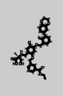 CCOC(=O)c1cncc(COc2cc(OCc3cccc(-c4ccc5c(c4)OCCO5)c3C)c(Cl)cc2CN[C@@](C)(CO)C(=O)O)c1